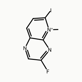 C[n+]1c(I)ccc2ncc(F)nc21